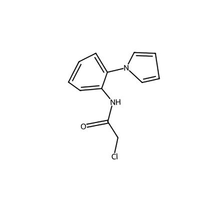 O=C(CCl)Nc1ccccc1-n1cccc1